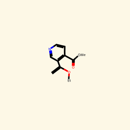 C=C(OCC)c1cnccc1C(=O)OC